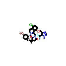 Cn1nnc(COc2ccc(Cl)c3c2C(CN2CC4(CC4)CC2=O)N(C(=O)[C@@H]2C[C@H](O)CC[C@]2(C)C(=O)O)CC3)c1C(F)F